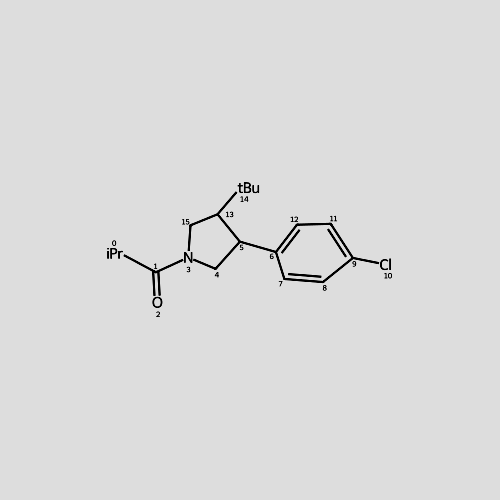 CC(C)C(=O)N1CC(c2ccc(Cl)cc2)C(C(C)(C)C)C1